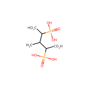 CC(C(C(=O)O)P(=O)(O)O)C(C(=O)O)P(=O)(O)O